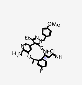 CCc1nn(Cc2ccc(OC)cc2)c2c1-c1cnc(N)c(c1)OC(C)c1cc(F)ccc1/C(=C/C(=N)Cl)NC2